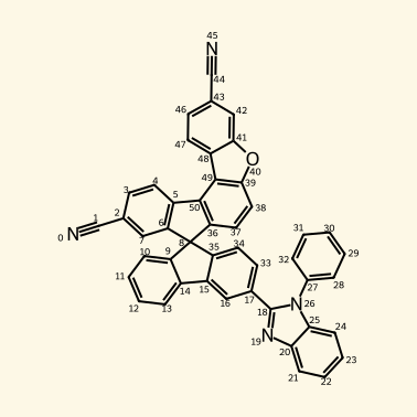 N#Cc1ccc2c(c1)C1(c3ccccc3-c3cc(-c4nc5ccccc5n4-c4ccccc4)ccc31)c1ccc3oc4cc(C#N)ccc4c3c1-2